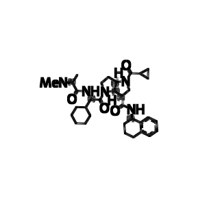 CN[C@@H](C)C(=O)N[C@H](C(=O)N1CC[C@@H]2[C@H]1[C@@H](C(=O)N[C@@H]1CCCc3ccccc31)CN2C(=O)C1CC1)C1CCCCC1